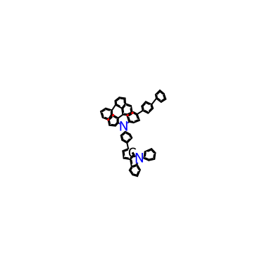 c1ccc(-c2ccc(-c3ccc(N(c4ccc(-c5ccc6c7ccccc7n(-c7ccccc7)c6c5)cc4)c4ccccc4-c4cccc5cccc(-c6ccccc6)c45)cc3)cc2)cc1